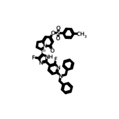 Cc1ccc(S(=O)(=O)Oc2cc3n(c(=O)c2)[C@H](c2[nH]c(-c4ccc(N(Cc5ccccc5)Cc5ccccc5)nc4F)nc2F)CC3)cc1